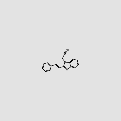 C#CCn1c(/C=C/c2ccccc2)nc2ccccc21